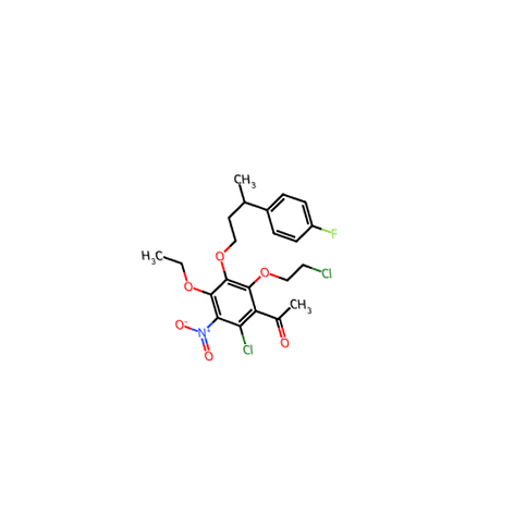 CCOc1c(OCCC(C)c2ccc(F)cc2)c(OCCCl)c(C(C)=O)c(Cl)c1[N+](=O)[O-]